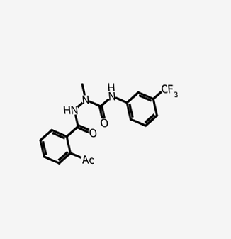 CC(=O)c1ccccc1C(=O)NN(C)C(=O)Nc1cccc(C(F)(F)F)c1